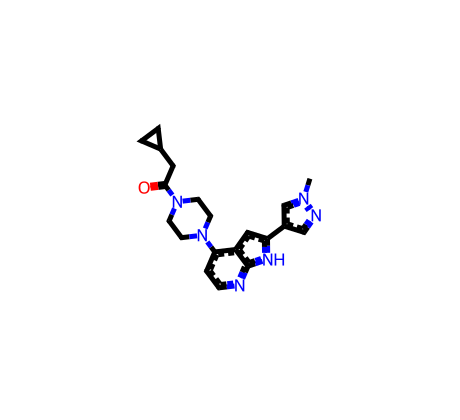 Cn1cc(-c2cc3c(N4CCN(C(=O)CC5CC5)CC4)ccnc3[nH]2)cn1